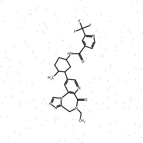 CCN1Cc2nncn2-c2cc(C3CC(NC(=O)c4ccnc(C(F)(F)F)c4)CCC3C)cnc2C1=O